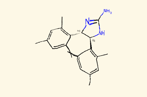 Cc1cc(C)c([C@@H]2N=C(N)N[C@H]2c2c(C)cc(C)cc2C)c(C)c1